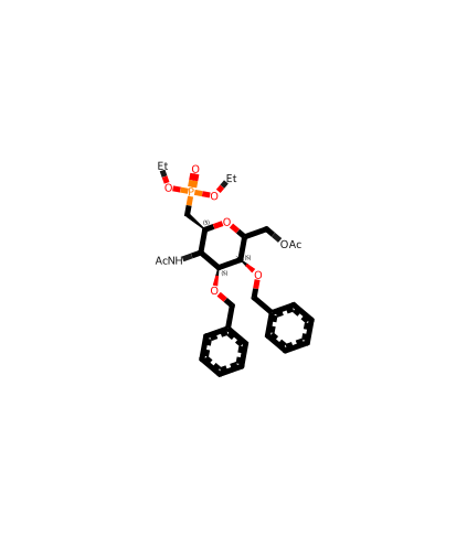 CCOP(=O)(C[C@H]1OC(COC(C)=O)[C@@H](OCc2ccccc2)[C@@H](OCc2ccccc2)C1NC(C)=O)OCC